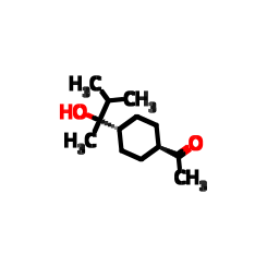 CC(=O)[C@H]1CC[C@H](C(C)(O)C(C)C)CC1